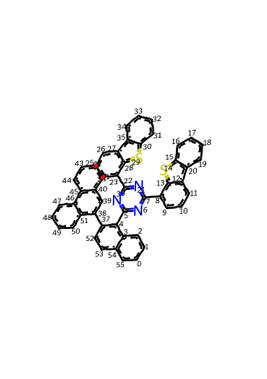 c1ccc2c(-c3nc(-c4cccc5c4sc4ccccc45)nc(-c4cccc5c4sc4ccccc45)n3)c(-c3cc4ccccc4c4ccccc34)ccc2c1